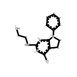 OCCNc1nc(Cl)c2c(n1)N(c1ccccc1)CC2